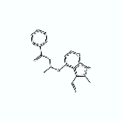 Cc1[nH]c2nccc(OC(C)OC(=O)c3ccccc3)c2c1C=O